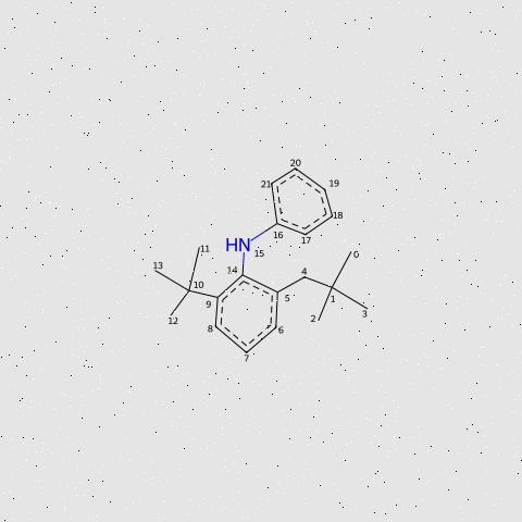 CC(C)(C)Cc1cccc(C(C)(C)C)c1Nc1ccccc1